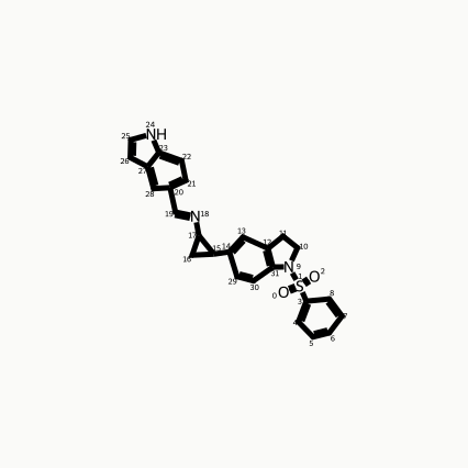 O=S(=O)(c1ccccc1)N1CCc2cc(C3CC3/N=C/c3ccc4[nH]ccc4c3)ccc21